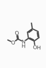 COC(=O)Nc1cc(C)ccc1O